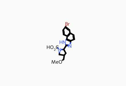 COCC1CC(c2nc3ccc4cc(Br)ccc4c3[nH]2)N(C(=O)O)C1